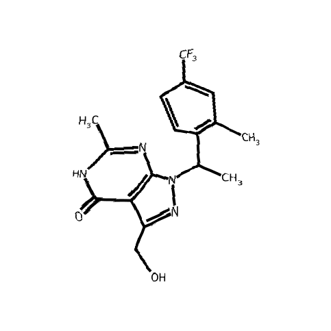 Cc1nc2c(c(CO)nn2C(C)c2ccc(C(F)(F)F)cc2C)c(=O)[nH]1